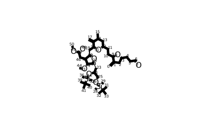 C=C1CC(CCC=O)OC1CCC1CC(C)C(=C)C(C[C@H]2O[C@H](CC(CO[Si](C)(C)C(C)(C)C)O[Si](C)(C)C(C)(C)C)[C@H](OC)C2CC(=O)OC)O1